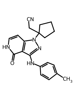 Cc1ccc(Nc2nn(C3(CC#N)CCCC3)c3cc[nH]c(=O)c23)cc1